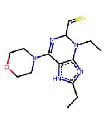 CCc1nc2c([nH]1)C(N1CCOCC1)=NC(C=S)N2CC